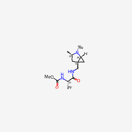 COC(=O)N[C@H](C(=O)NC[C@@]12C[C@@H](C)N(C(C)(C)C)[C@@H]1C2)C(C)C